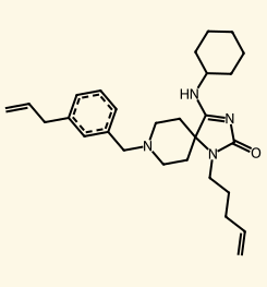 C=CCCCN1C(=O)N=C(NC2CCCCC2)C12CCN(Cc1cccc(CC=C)c1)CC2